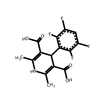 CC1=C(C(=O)O)C(c2c(F)c(F)cc(F)c2F)C(C(=O)O)=C(C)N1